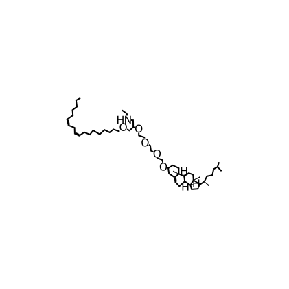 CCCCC/C=C\C/C=C\CCCCCCCCOCC(CNCC)OCCOCCOCCO[C@H]1CC[C@@]2(C)C(=CC[C@H]3[C@@H]4CC[C@H]([C@H](C)CCCC(C)C)[C@@]4(C)CC[C@@H]32)C1